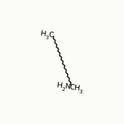 CCCCCCCCCCCCCCCCCCCCCCCCC(C)N